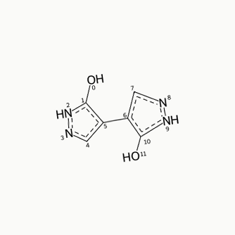 Oc1[nH]ncc1-c1cn[nH]c1O